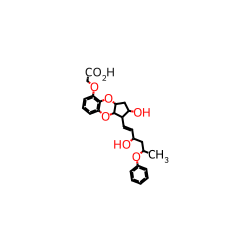 CC(CC(O)/C=C/C1C(O)CC2Oc3c(OCC(=O)O)cccc3OC21)Oc1ccccc1